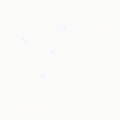 O=C(O)C(=O)Nc1nc(NC(=O)C(=O)O)c(Cl)nc1Cl